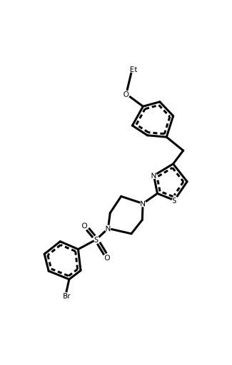 CCOc1ccc(Cc2csc(N3CCN(S(=O)(=O)c4cccc(Br)c4)CC3)n2)cc1